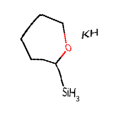 [KH].[SiH3]C1CCCCO1